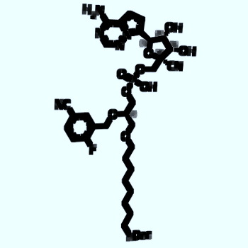 CCCCCCCCCCCCCCCCCCOC[C@H](COP(=O)(O)OC[C@@]1(C#N)O[C@@H](c2ccc3c(N)ncnn23)[C@H](O)[C@@H]1O)OCc1cc(C#N)ccc1F